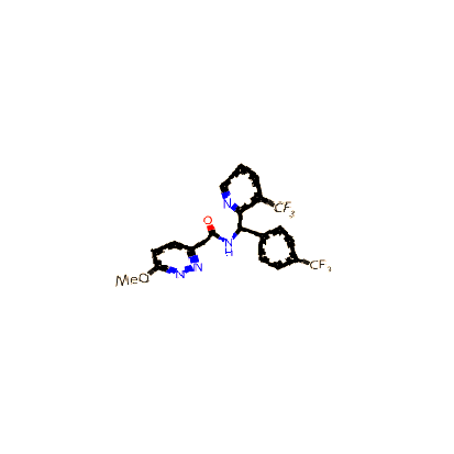 COc1ccc(C(=O)NC(c2ccc(C(F)(F)F)cc2)c2ncccc2C(F)(F)F)nn1